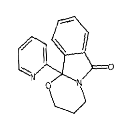 O=C1c2ccccc2C2(c3ccccn3)OCCCN12